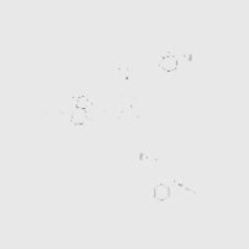 [N-]=[N+]=Nc1ccccc1COC(=O)NCCCCC(N)C(=O)O[C@H]1[C@@H](O)[C@H](n2cnc3c(N)ncnc32)O[C@@H]1COP(=O)(O)O[C@H]1C[C@H](n2ccc(N)nc2=O)O[C@H]1COP(=O)(O)O